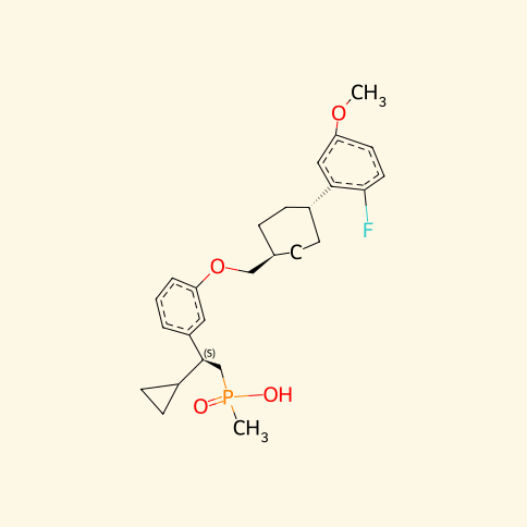 COc1ccc(F)c([C@H]2CC[C@H](COc3cccc([C@@H](CP(C)(=O)O)C4CC4)c3)CC2)c1